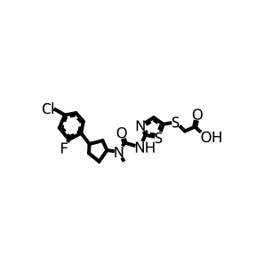 CN(C(=O)Nc1ncc(SCC(=O)O)s1)C1CCC(c2ccc(Cl)cc2F)C1